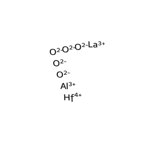 [Al+3].[Hf+4].[La+3].[O-2].[O-2].[O-2].[O-2].[O-2]